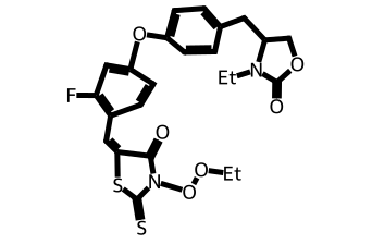 CCOON1C(=O)/C(=C\c2ccc(Oc3ccc(CC4COC(=O)N4CC)cc3)cc2F)SC1=S